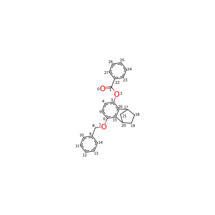 O=C(Oc1ccc(OCc2ccccc2)c2c1C1CCC2C1)c1ccccc1